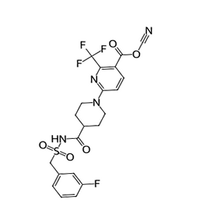 N#COC(=O)c1ccc(N2CCC(C(=O)NS(=O)(=O)Cc3cccc(F)c3)CC2)nc1C(F)(F)F